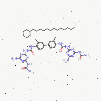 CCCCCCCCCCCCCC1CCCCC1.Cc1cc(-c2ccc(NC(=O)Nc3nc(N)nc(NC(N)=O)n3)c(C)c2)ccc1NC(=O)Nc1nc(N)nc(NC(N)=O)n1